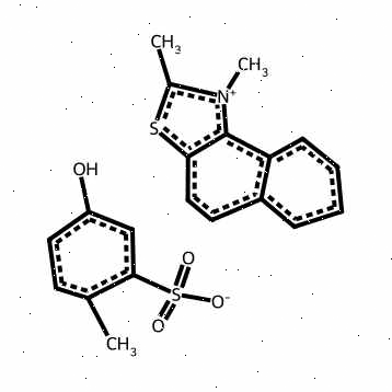 Cc1ccc(O)cc1S(=O)(=O)[O-].Cc1sc2ccc3ccccc3c2[n+]1C